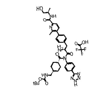 Cc1nc(C(=O)N[C@H](C)CO)ccc1-c1ccc(C[C@H](N)C(=O)N(c2ccc(-c3nn[nH]n3)cc2)C(=O)[C@H]2CC[C@H](CNC(=O)OC(C)(C)C)CC2)cc1.O=C(O)C(F)(F)F